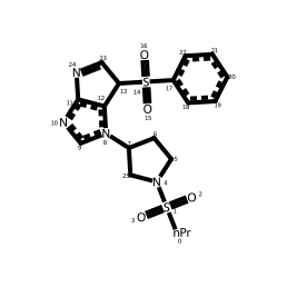 CCCS(=O)(=O)N1CCC(n2cnc3c2C(S(=O)(=O)c2ccccc2)C=N3)C1